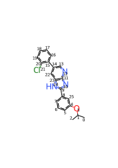 CC(C)Oc1cccc(-c2nc3ncc(-c4ccccc4Cl)cc3[nH]2)c1